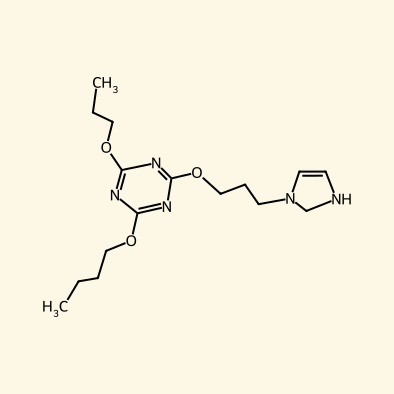 CCCCOc1nc(OCCC)nc(OCCCN2C=CNC2)n1